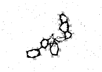 CN1c2ccc(-c3ccccc3)cc2C2(C3CCCC2CCC3)C12C=Nc1ccc3cc4ncccc4cc3c1O2